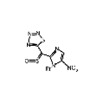 CCn1c([N+](=O)[O-])cnc1C(=S=O)c1nnns1